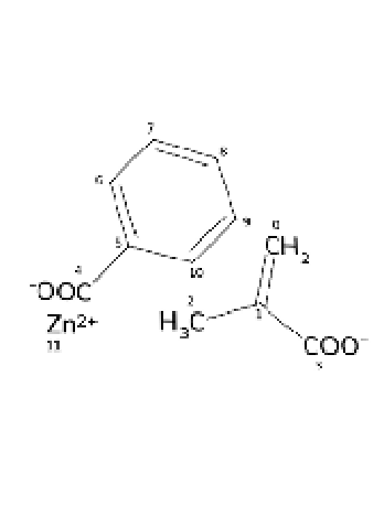 C=C(C)C(=O)[O-].O=C([O-])c1ccccc1.[Zn+2]